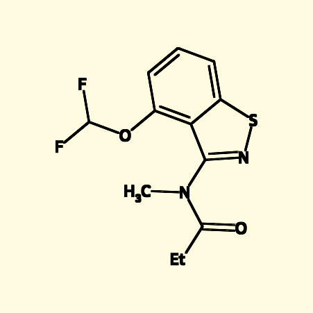 CCC(=O)N(C)c1nsc2cccc(OC(F)F)c12